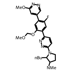 CCCCC1C(NC)CCN1c1ccc(-c2cc(F)c(-c3cnnc(OC)c3)cc2OCOC)nn1